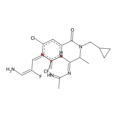 C=C(/N=C\C(F)=C/N)N/C(=N\C(C)=N)C(C)N(CC1CC1)C(=O)c1cc(Cl)cc(C(F)(F)F)c1